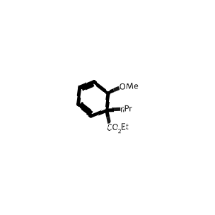 CCCC1(C(=O)OCC)C=CC=CC1OC